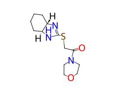 O=C(CSC1=N[C@H]2CCCC[C@@H]2N1)N1CCOCC1